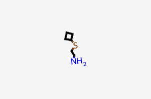 NCCSC1CCC1